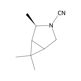 C[C@@H]1C2C(CN1C#N)C2(C)C